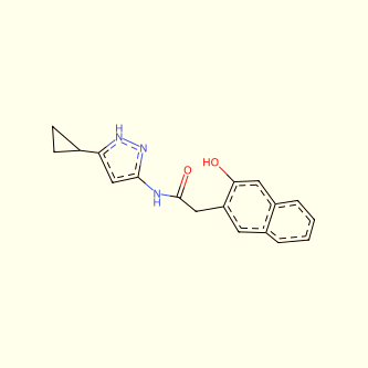 O=C(Cc1cc2ccccc2cc1O)Nc1cc(C2CC2)[nH]n1